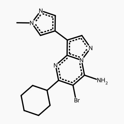 Cn1cc(-c2cnn3c(N)c(Br)c(C4CCCCC4)nc23)cn1